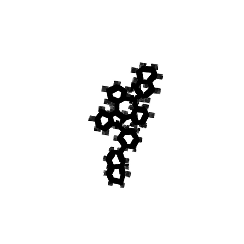 c1cc(-c2ccc3ccccc3c2)cc(-n2c3c(c4ccccc42)-c2ccccc2N(c2ccc4ccccc4n2)c2ccccc2-3)c1